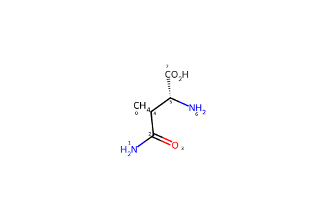 C.NC(=O)C[C@@H](N)C(=O)O